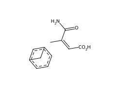 CC(=CC(=O)O)C(N)=O.c1cc2cc(c1)C2